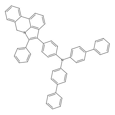 c1ccc(-c2ccc(N(c3ccc(-c4ccccc4)cc3)c3ccc(-c4c(-c5ccccc5)n5c6c(cccc46)-c4ccccc4C5)cc3)cc2)cc1